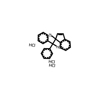 CCCCC(c1ccccc1)(c1ccccc1)[C]1([Ti])C=Cc2ccccc21.Cl.Cl.Cl